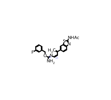 C=C(/C=C\N=C(/N)OCc1cccc(F)c1)c1ccc2nc(NC(C)=O)sc2c1